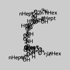 CCCCCC/C=C\CCCC(=O)O[C@H](CCCCCCC)CC(=O)NC(COCC[C@H](O)CCCCCCC)COP(=O)(O)OCCNC(=O)CC(=O)NCCOP(=O)(O)OCC(COCC[C@H](O)CCCCCCC)NC(=O)C[C@@H](CCCCCCC)OC(=O)CCC/C=C\CCCCCC